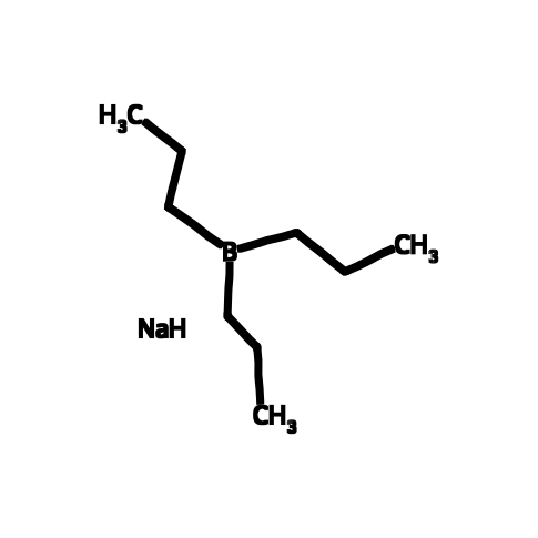 CCCB(CCC)CCC.[NaH]